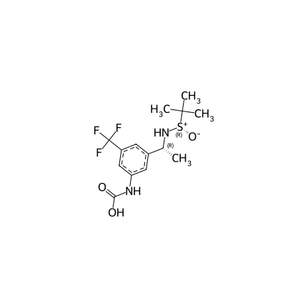 C[C@@H](N[S@@+]([O-])C(C)(C)C)c1cc(NC(=O)O)cc(C(F)(F)F)c1